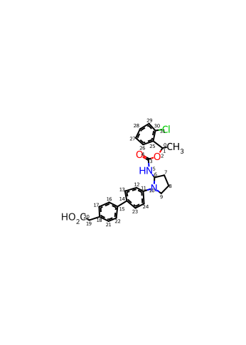 CC(OC(=O)NC1CCCN1c1ccc(-c2ccc(CC(=O)O)cc2)cc1)c1ccccc1Cl